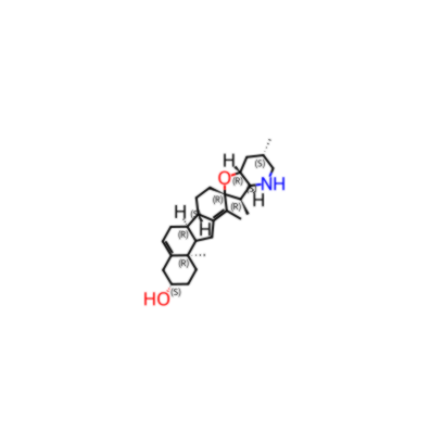 CC1=C2CC3[C@@H](CC=C4C[C@@H](O)CC[C@@]43C)[C@@H]2CC[C@]12O[C@@H]1C[C@H](C)CN[C@H]1[C@H]2C